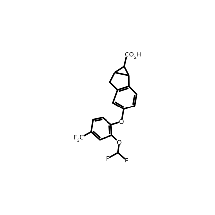 O=C(O)C1C2Cc3cc(Oc4ccc(C(F)(F)F)cc4OC(F)F)ccc3C21